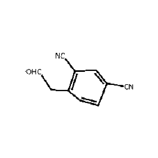 N#Cc1ccc(C[C]=O)c(C#N)c1